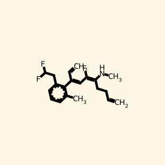 C=CCC/C(NC)=C(F)\C=C(/C=C)c1c(C)cccc1CC(F)F